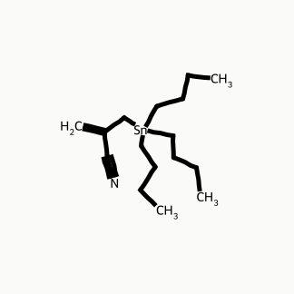 C=C(C#N)[CH2][Sn]([CH2]CCC)([CH2]CCC)[CH2]CCC